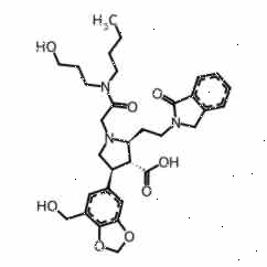 CCCCN(CCCO)C(=O)CN1C[C@H](c2cc(CO)c3c(c2)OCO3)[C@@H](C(=O)O)[C@@H]1CCN1Cc2ccccc2C1=O